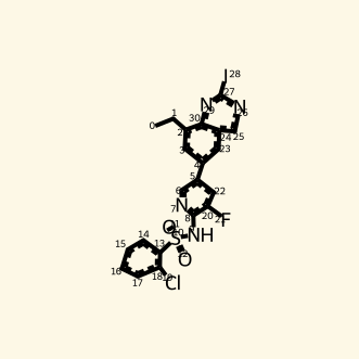 CCc1cc(-c2cnc(NS(=O)(=O)c3ccccc3Cl)c(F)c2)cc2cnc(I)nc12